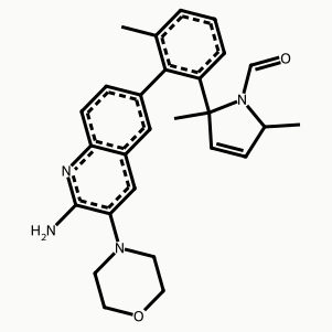 Cc1cccc(C2(C)C=CC(C)N2C=O)c1-c1ccc2nc(N)c(N3CCOCC3)cc2c1